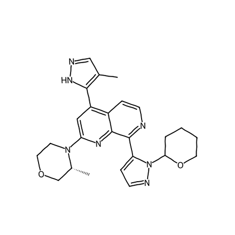 Cc1cn[nH]c1-c1cc(N2CCOC[C@H]2C)nc2c(-c3ccnn3C3CCCCO3)nccc12